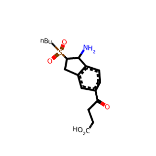 CCCCS(=O)(=O)C1Cc2cc(C(=O)CCC(=O)O)ccc2C1N